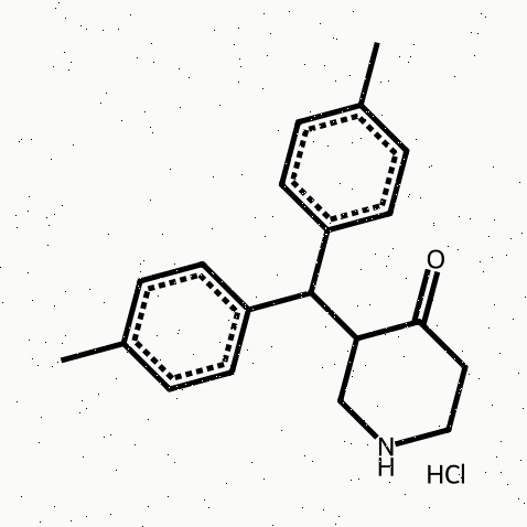 Cc1ccc(C(c2ccc(C)cc2)C2CNCCC2=O)cc1.Cl